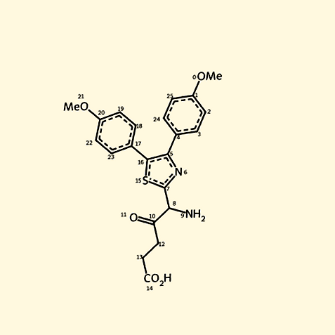 COc1ccc(-c2nc(C(N)C(=O)CCC(=O)O)sc2-c2ccc(OC)cc2)cc1